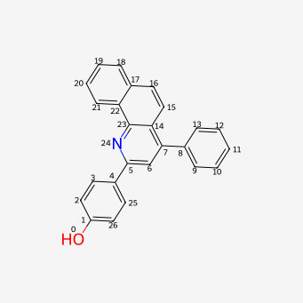 Oc1ccc(-c2cc(-c3ccccc3)c3ccc4ccccc4c3n2)cc1